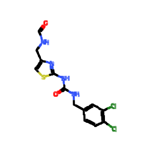 O=CNCc1csc(NC(=O)NCc2ccc(Cl)c(Cl)c2)n1